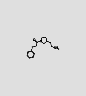 NCCC1CCN(C(=O)CSc2ccccc2)C1